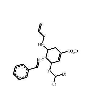 C=CCN[C@H]1CC(C(=O)OCC)=C[C@@H](OC(CC)CC)[C@@H]1N=Cc1ccccc1